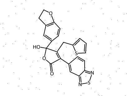 O=C1OC(O)(c2ccc3c(c2)CCO3)C(Cc2cccs2)=C1c1ccc2nsnc2c1